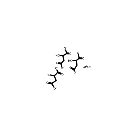 O=C([O-])CC(O)C(=O)[O-].O=C([O-])CC(O)C(=O)[O-].O=C([O-])CC(O)C(=O)[O-].[Ce+3].[La+3]